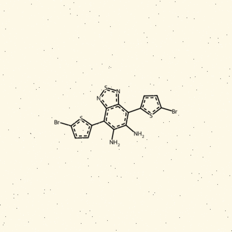 Nc1c(N)c(-c2ccc(Br)s2)c2nsnc2c1-c1ccc(Br)s1